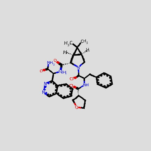 CC1(C)[C@@H]2[C@@H](C(=O)NC(C(N)=O)c3nncc4ccccc34)N(C(=O)C(Cc3ccccc3)NC(=O)[C@@H]3CCOC3)C[C@@H]21